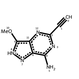 C#Cc1nc(N)c2n[nH]c(OC)c2n1